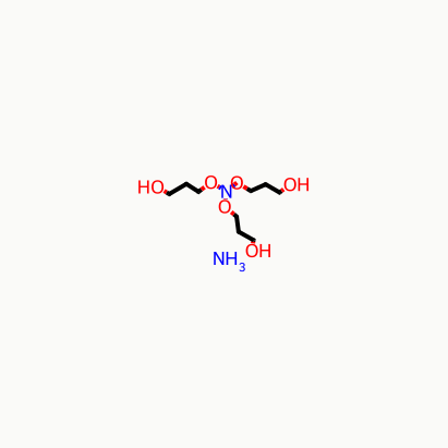 N.OCCCON(OCCCO)OCCCO